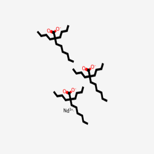 CCCCCCC(CCCC)(CCCC)C(=O)[O-].CCCCCCC(CCCC)(CCCC)C(=O)[O-].CCCCCCC(CCCC)(CCCC)C(=O)[O-].[Nd+3]